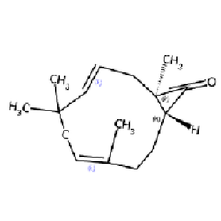 C/C1=C\CC(C)(C)/C=C/C[C@@]2(C)C(=O)[C@@H]2CC1